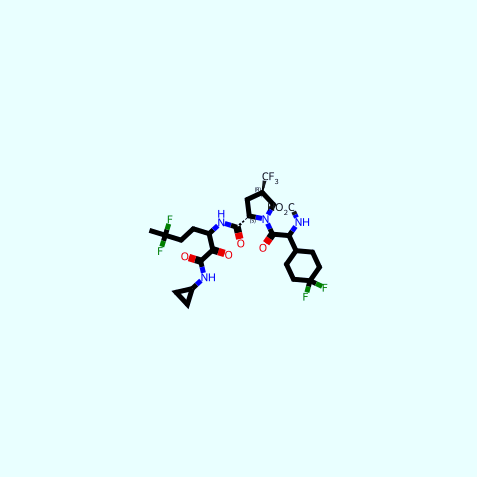 CC(F)(F)CCC(NC(=O)[C@@H]1C[C@@H](C(F)(F)F)CN1C(=O)C(NC(=O)O)C1CCC(F)(F)CC1)C(=O)C(=O)NC1CC1